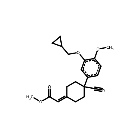 COC(=O)C=C1CCC(C#N)(c2ccc(OC)c(OCC3CC3)c2)CC1